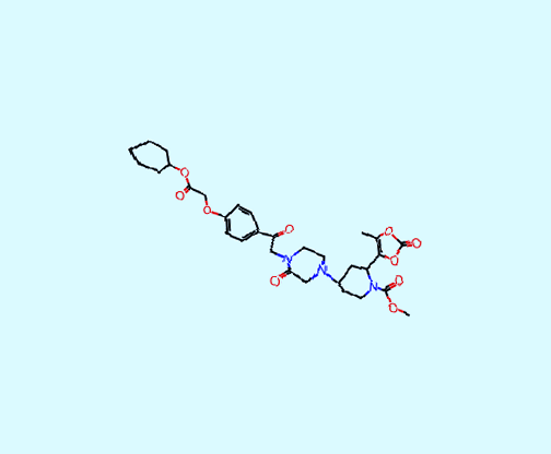 COC(=O)N1CCC(N2CCN(CC(=O)c3ccc(OCC(=O)OC4CCCCC4)cc3)C(=O)C2)CC1c1oc(=O)oc1C